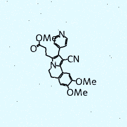 COC(=O)CCc1c(-c2ccncc2)c(C#N)c2n1CCc1cc(OC)c(OC)cc1-2